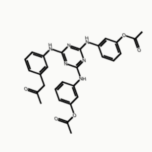 CC(=O)Cc1cccc(Nc2nc(Nc3cccc(OC(C)=O)c3)nc(Nc3cccc(OC(C)=O)c3)n2)c1